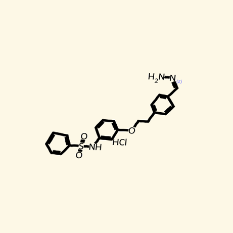 Cl.N/N=C\c1ccc(CCOc2cccc(NS(=O)(=O)c3ccccc3)c2)cc1